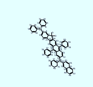 CC1(C)c2cc(N(c3ccccc3)c3ccccc3)ccc2-c2cc3c(-c4ccccc4)c4cc(N(C5=CC=CCC5)c5ccc6ccccc6c5)ccc4c(-c4ccccc4)c3cc21